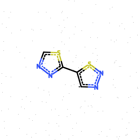 [c]1nnsc1-c1nncs1